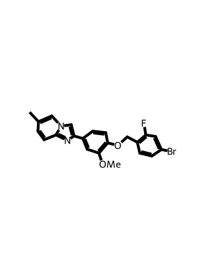 COc1cc(-c2cn3cc(C)ccc3n2)ccc1OCc1ccc(Br)cc1F